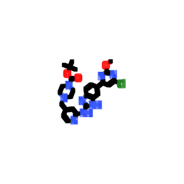 COc1nc(Cl)cc(-c2ccc3nc(Nc4cc(CN5CCN(C(=O)OC(C)(C)C)CC5)ccn4)[nH]c3c2)n1